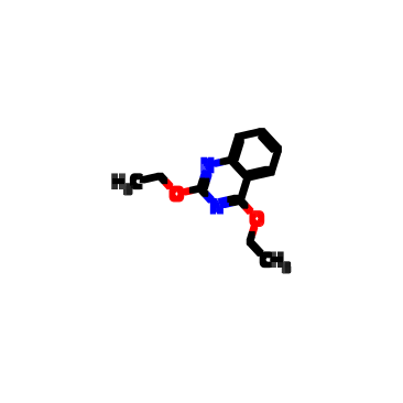 CCOc1nc(OCC)c2ccccc2n1